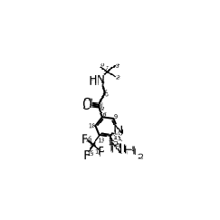 CC(C)(C)NCC(=O)c1cnc(N)c(C(F)(F)F)c1